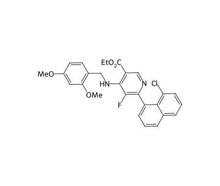 CCOC(=O)c1cnc(-c2cccc3cccc(Cl)c23)c(F)c1NCc1ccc(OC)cc1OC